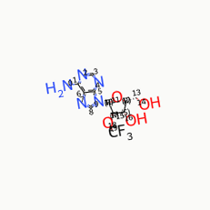 Nc1ncnc2c1ncn2[C@@H]1O[C@H](CO)[C@H](O)[C@H]1OC(F)(F)F